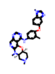 Cc1cc(Nc2ncnc3cnc4c(c23)O[C@H]2CCN(C)C[C@H]2N4C)ccc1Oc1ccc2c(c1)ncn2C